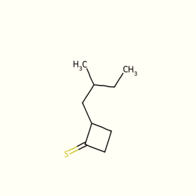 CCC(C)CC1CCC1=S